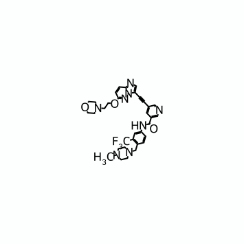 CN1CCN(Cc2ccc(NC(=O)c3cncc(C#Cc4cnc5ccc(OCCN6CCOCC6)nn45)c3)cc2C(F)(F)F)CC1